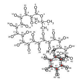 C[Si](C)(C)O[Si](=O)[Si](=O)[Si](=O)[Si](=O)[Si](=O)[Si](=O)[Si](=O)[Si](=O)[Si](=O)[Si](=O)[Si](=O)[Si](=O)[Si](=O)[Si](=O)[Si](=O)[Si](=O)[Si](=O)[Si](=O)[Si](=O)[Si](=O)[Si](=O)[Si](=O)[Si](=O)[Si](=O)[Si](=O)[Si](=O)[Si](=O)[Si](=O)[Si](=O)[Si](=O)[Si](C)(C)C